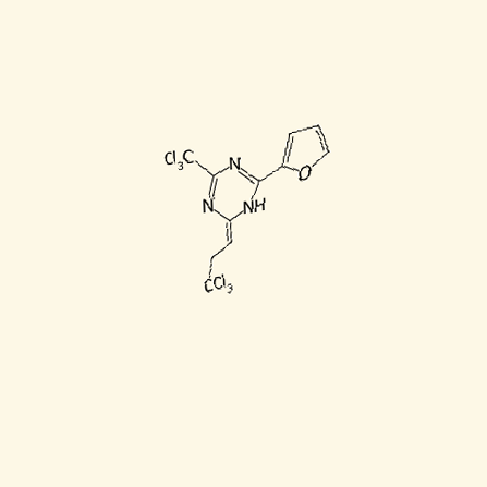 ClC(Cl)(Cl)CC=C1N=C(C(Cl)(Cl)Cl)N=C(c2ccco2)N1